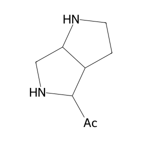 CC(=O)C1NCC2NCCC21